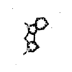 Cn1ccc2c1Cc1c-2c2ccccc2n1C